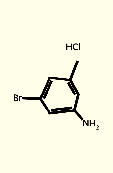 Cc1cc(N)cc(Br)c1.Cl